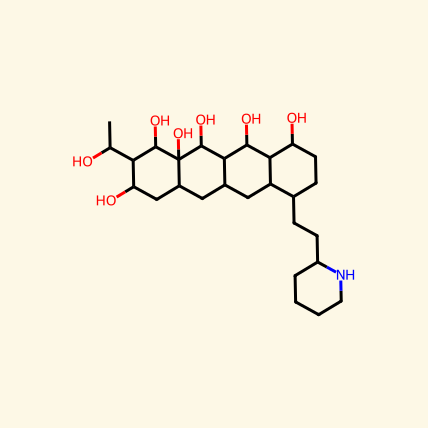 CC(O)C1C(O)CC2CC3CC4C(CCC5CCCCN5)CCC(O)C4C(O)C3C(O)C2(O)C1O